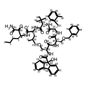 CCCC[C@H](NC(=O)[C@H](CC(C)C)NC(=O)[C@@H](NC(=O)[C@H](Cc1ccccc1C)NC(=O)[C@@H](COCc1ccccc1)NC(=O)[C@H](CO)NC(=O)C1(O)c2ccccc2-c2ccccc21)C(C)(C)C)C(=O)C(N)=O